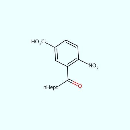 CCCCCCCC(=O)c1cc(C(=O)O)ccc1[N+](=O)[O-]